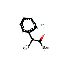 CNC(=O)C(c1ccccc1)[N+](=O)[O-].Cl